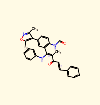 C/C(C(=O)/C=C/c1ccccc1)=C(/Nc1ccccc1)c1cc(-c2c(C)noc2C)ccc1NC=O